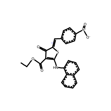 CCOC(=O)C1=C(Nc2cccc3ccccc23)S/C(=C\c2ccc([N+](=O)[O-])cc2)C1=O